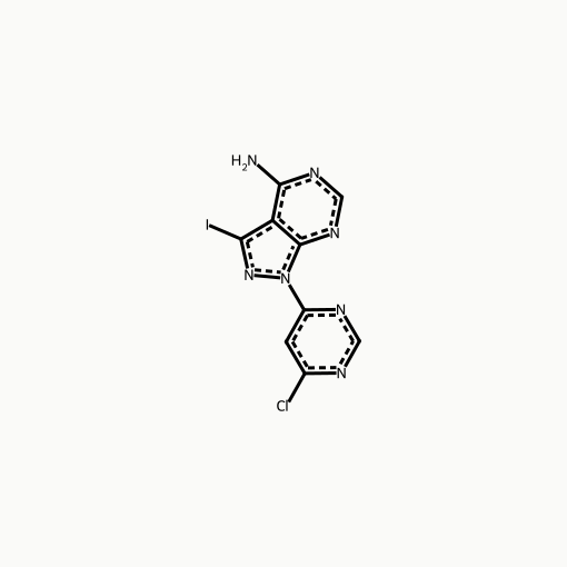 Nc1ncnc2c1c(I)nn2-c1cc(Cl)ncn1